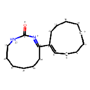 O=C1N=C(C2=CCCCCCCCC2)CCCCCCN1